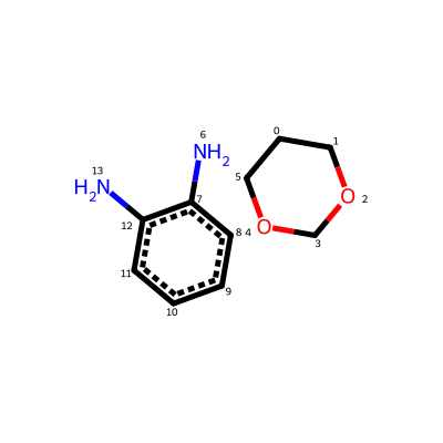 C1COCOC1.Nc1ccccc1N